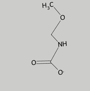 COCNC([O])=O